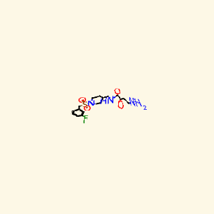 NCCC(=O)C(=O)NCC1CCN(S(=O)(=O)Cc2cccc(F)c2)CC1